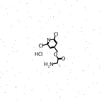 C[C@H](N)C(=O)OCc1cc(Cl)nc(Cl)c1.Cl